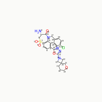 N[C@H]1CS(=O)(=O)c2ccc(-c3nnc(N4CC5(CCCOC5)C4)o3)cc2N(Cc2ccc(Cl)cc2)C1=O